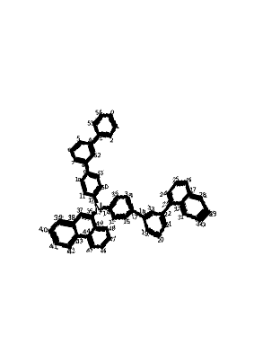 c1ccc(-c2cccc(-c3ccc(N(c4ccc(-c5cccc(-c6cccc7ccccc67)c5)cc4)c4cc5ccccc5c5ccccc45)cc3)c2)cc1